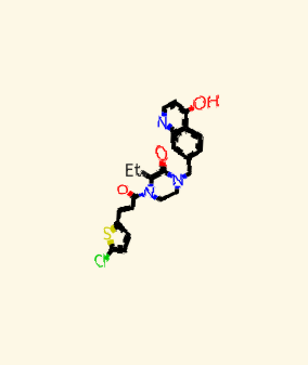 CCC1C(=O)N(Cc2ccc3c(O)ccnc3c2)CCN1C(=O)C=Cc1ccc(Cl)s1